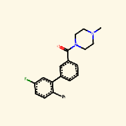 CC(C)c1ccc(F)cc1-c1cccc(C(=O)N2CCN(C)CC2)c1